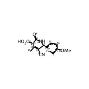 COc1ccc(C2NC(=O)N(C(=O)O)C(C)=C2C#N)cc1